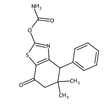 CC1(C)CC(=O)c2sc(OC(N)=O)nc2C1c1ccccc1